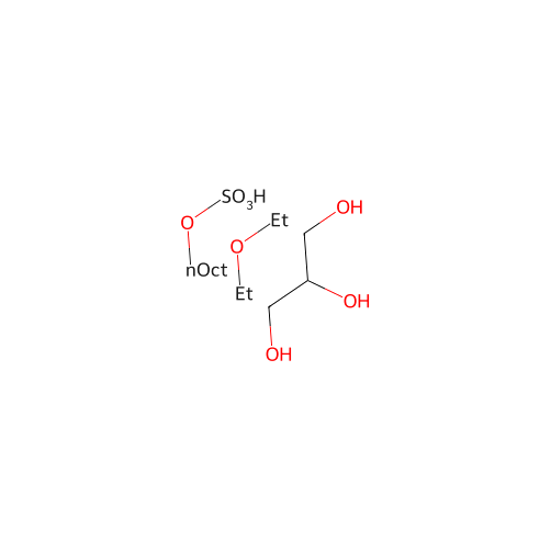 CCCCCCCCOS(=O)(=O)O.CCOCC.OCC(O)CO